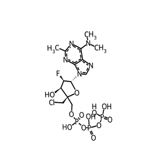 Cc1nc(N(C)C)c2ncn([C@@H]3O[C@](CCl)(COP(=O)(O)OP(=O)(O)OP(=O)(O)O)[C@@H](O)[C@H]3F)c2n1